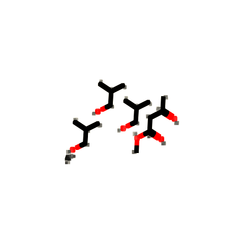 CC(C)C[O-].CC(C)C[O-].CC(C)C[O-].COC(=O)CC(C)=O.[Al+3]